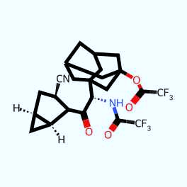 N#C[C@@H]1C[C@@H]2C[C@@H]2C1C(=O)[C@@H](NC(=O)C(F)(F)F)C12CC3CC(CC(OC(=O)C(F)(F)F)(C3)C1)C2